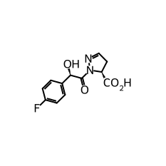 O=C(O)[C@@H]1CC=NN1C(=O)[C@H](O)c1ccc(F)cc1